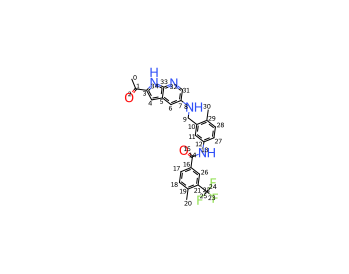 CC(=O)c1cc2cc(NCc3cc(NC(=O)c4ccc(C)c(C(F)(F)F)c4)ccc3C)cnc2[nH]1